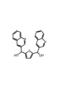 OC(c1cnc2ccccc2c1)c1ccc(C(O)c2cnc3ccccc3c2)s1